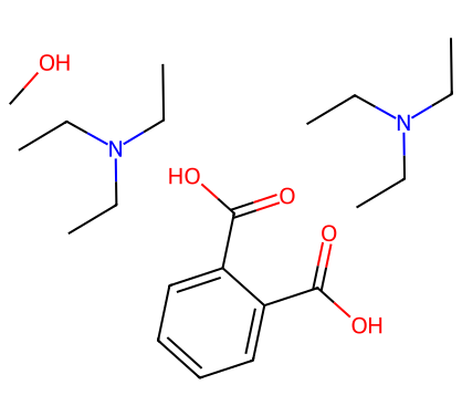 CCN(CC)CC.CCN(CC)CC.CO.O=C(O)c1ccccc1C(=O)O